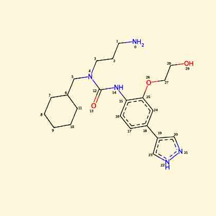 NCCCN(CC1CCCCC1)C(=O)Nc1ccc(-c2cn[nH]c2)cc1OCCO